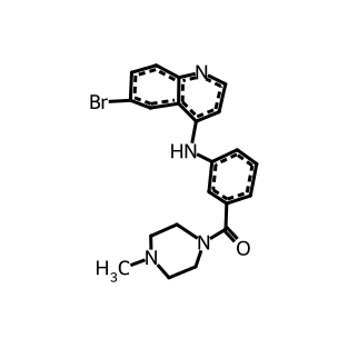 CN1CCN(C(=O)c2cccc(Nc3ccnc4ccc(Br)cc34)c2)CC1